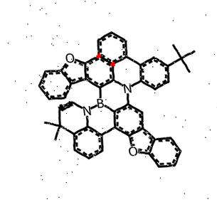 CC(C)(C)c1ccc(N2c3cc4c(oc5ccccc54)c4c3B(c3c2ccc2oc5ccccc5c32)N2c3ccccc3C(C)(C)c3cccc-4c32)c(-c2ccccc2)c1